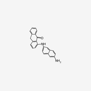 Nc1ccc2cc(Nc3cccc4c3C(=O)c3ccccc3C4)ccc2c1